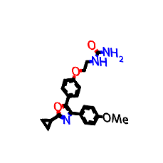 COc1ccc(-c2nc(C3CC3)oc2-c2ccc(OCCNC(N)=O)cc2)cc1